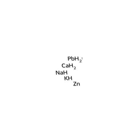 [CaH2].[KH].[NaH].[PbH2].[Zn]